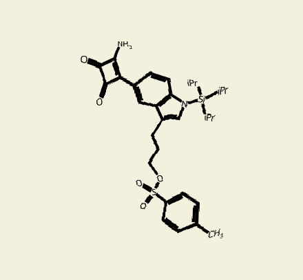 Cc1ccc(S(=O)(=O)OCCCc2cn([Si](C(C)C)(C(C)C)C(C)C)c3ccc(-c4c(N)c(=O)c4=O)cc23)cc1